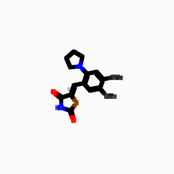 COc1cc(/C=C2\SC(=O)NC2=O)c(N2CCCC2)cc1OC